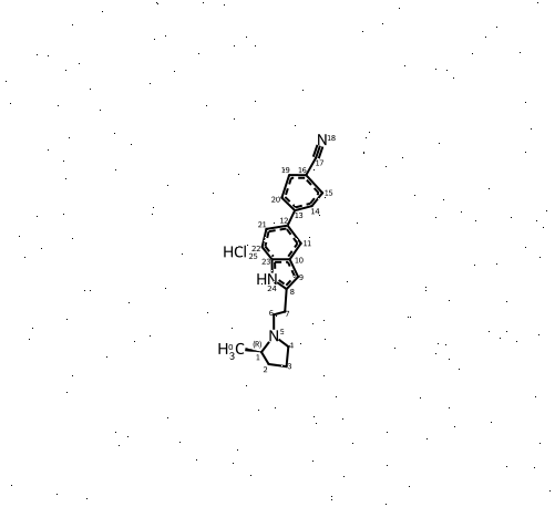 C[C@@H]1CCCN1CCc1cc2cc(-c3ccc(C#N)cc3)ccc2[nH]1.Cl